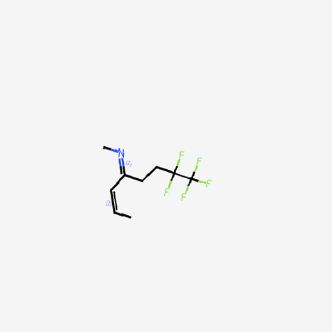 C/C=C\C(CCC(F)(F)C(F)(F)F)=N/C